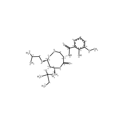 CCC(C)(C)O[C@H]1[C@H](C)OC(=O)[C@@H](NC(=O)c2nccc(OC)c2O)COC[C@@H]1OCC(C)C